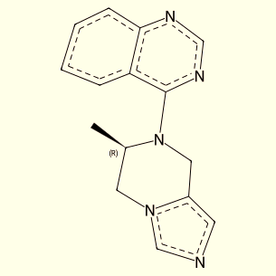 C[C@@H]1Cn2cncc2CN1c1ncnc2ccccc12